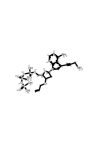 C=CCOC1C[C@H](n2cc(C#CCN)c3c(N)ncnc32)O[C@@H]1COP(=O)(O)OP(=O)(O)OP(=O)(O)O